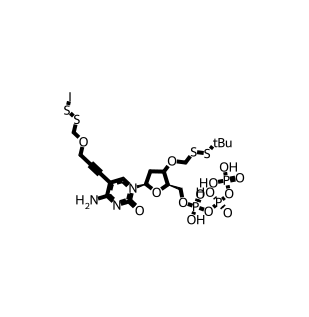 CC(C)(C)SSCOC1C[C@H](n2cc(C#CCOCSSI)c(N)nc2=O)O[C@@H]1COP(=O)(O)OP(=O)(O)OP(=O)(O)O